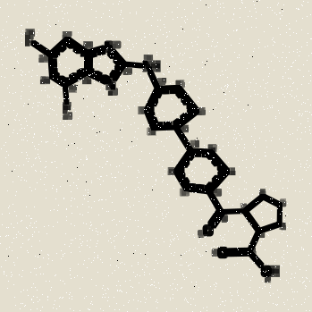 O=C(O)C1CCCC1C(=O)c1ccc(-c2ccc(Nc3nc4c(F)cc(F)cc4s3)cc2)cc1